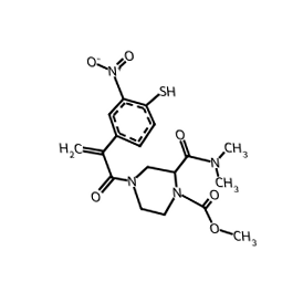 C=C(C(=O)N1CCN(C(=O)OC)C(C(=O)N(C)C)C1)c1ccc(S)c([N+](=O)[O-])c1